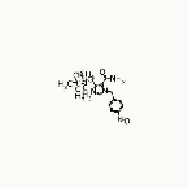 CC(C)(C)[Si](C)(C)Oc1ncn(Cc2ccc(N=O)cc2)c1C(N)=O